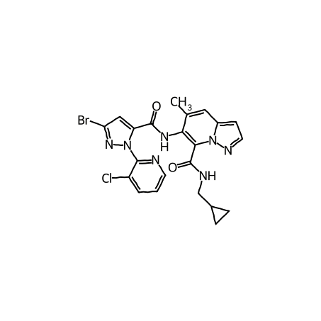 Cc1cc2ccnn2c(C(=O)NCC2CC2)c1NC(=O)c1cc(Br)nn1-c1ncccc1Cl